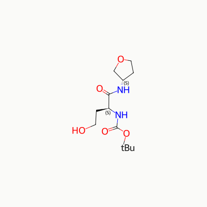 CC(C)(C)OC(=O)N[C@@H](CCO)C(=O)N[C@H]1CCOC1